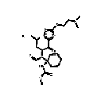 COC(=O)NC1(N(C=O)C(CC(C)C)C(=O)c2nnc(SCCN(C)C)o2)CCCCC1.Cl